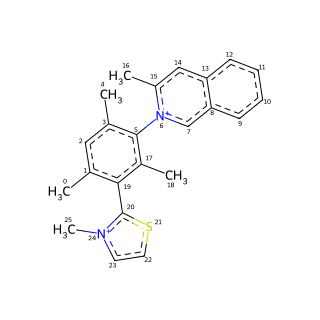 Cc1cc(C)c(-[n+]2cc3ccccc3cc2C)c(C)c1-c1scc[n+]1C